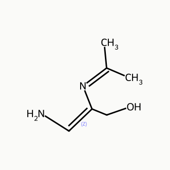 CC(C)=N/C(=C\N)CO